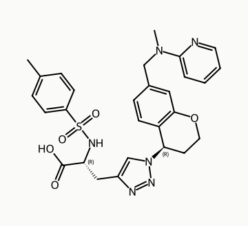 Cc1ccc(S(=O)(=O)N[C@H](Cc2cn([C@@H]3CCOc4cc(CN(C)c5ccccn5)ccc43)nn2)C(=O)O)cc1